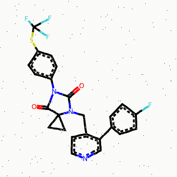 O=C1N(c2ccc(SC(F)(F)F)cc2)C(=O)C2(CC2)N1Cc1ccncc1-c1ccc(F)cc1